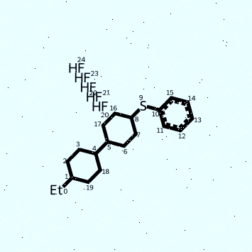 CCC1CCC(C2CCC(Sc3ccccc3)CC2)CC1.F.F.F.F.F